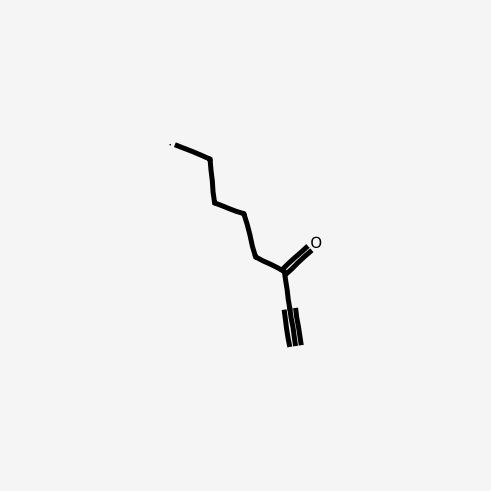 C#CC(=O)CCCC[CH2]